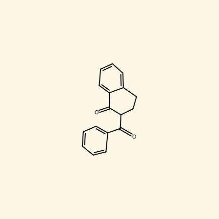 O=C(c1ccccc1)C1CCc2ccccc2C1=O